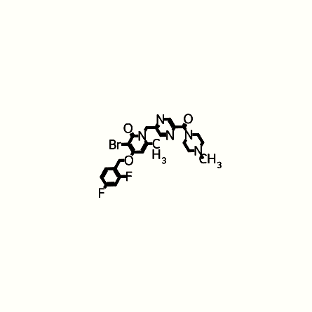 Cc1cc(OCc2ccc(F)cc2F)c(Br)c(=O)n1Cc1cnc(C(=O)N2CCN(C)CC2)cn1